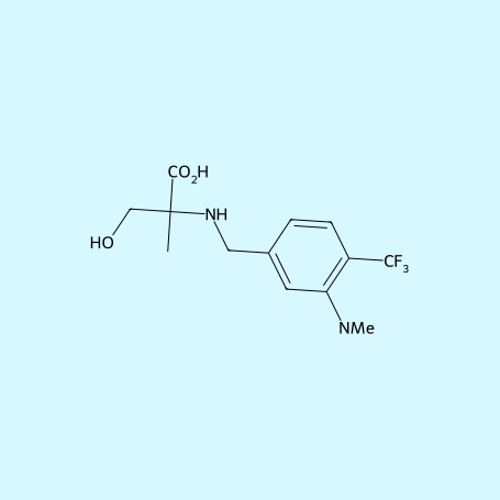 CNc1cc(CNC(C)(CO)C(=O)O)ccc1C(F)(F)F